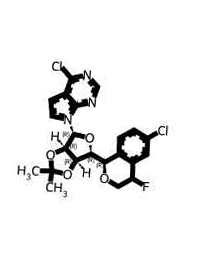 CC1(C)O[C@H]2[C@@H](O1)[C@H](n1ccc3c(Cl)ncnc31)O[C@@H]2[C@@H]1OCC(F)c2cc(Cl)ccc21